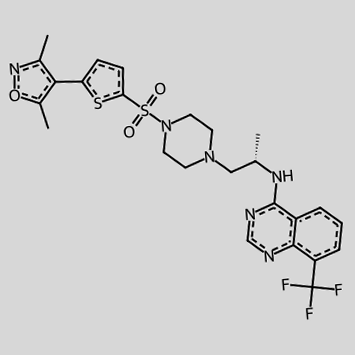 Cc1noc(C)c1-c1ccc(S(=O)(=O)N2CCN(C[C@H](C)Nc3ncnc4c(C(F)(F)F)cccc34)CC2)s1